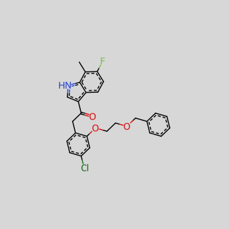 Cc1c(F)ccc2c(C(=O)Cc3ccc(Cl)cc3OCCOCc3ccccc3)c[nH]c12